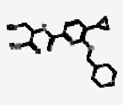 CNC(=O)C(CC(C)(C)C)NC(=O)c1ccc(C2CC2)c(OCC2CCOCC2)n1